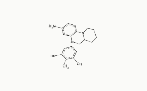 Cc1c(O)cccc1O.Nc1ccc2c(c1)OCC1CCCCN21